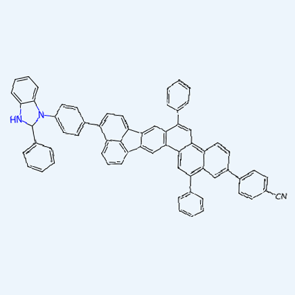 N#Cc1ccc(-c2ccc3c(c2)c(-c2ccccc2)cc2c4cc5c(cc4c(-c4ccccc4)cc32)-c2ccc(-c3ccc(N4c6ccccc6NC4c4ccccc4)cc3)c3cccc-5c23)cc1